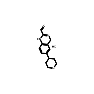 Cl.O=CC1=NCc2cc(C3CCNCC3)ccc2N1